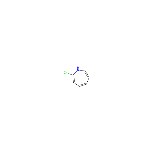 ClC1=CC=CC=CN1